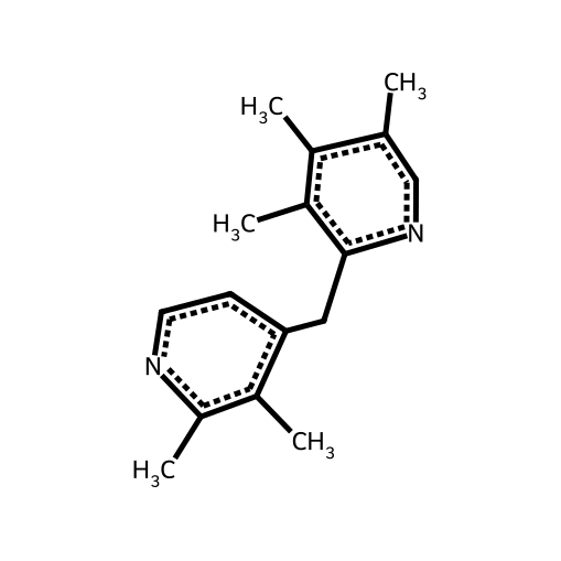 Cc1cnc(Cc2ccnc(C)c2C)c(C)c1C